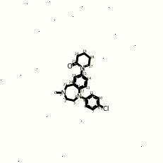 CN1CCN(c2ccc(Cl)cc2)c2ccc(N3CCCCC3=O)cc2C1